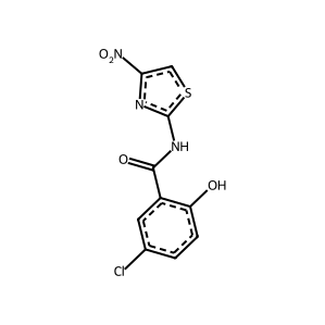 O=C(Nc1nc([N+](=O)[O-])cs1)c1cc(Cl)ccc1O